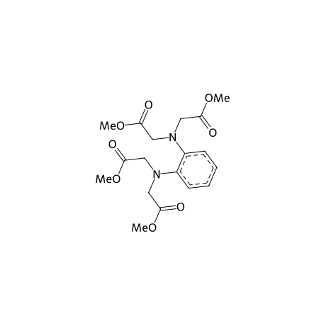 COC(=O)CN(CC(=O)OC)c1ccccc1N(CC(=O)OC)CC(=O)OC